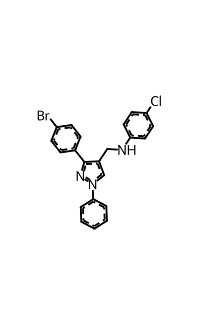 Clc1ccc(NCc2cn(-c3ccccc3)nc2-c2ccc(Br)cc2)cc1